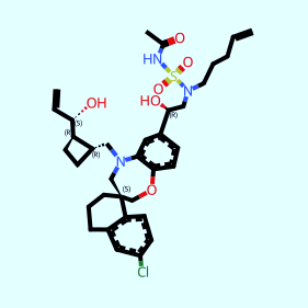 C=CCCCN(C[C@H](O)c1ccc2c(c1)N(C[C@@H]1CC[C@H]1[C@@H](O)C=C)C[C@@]1(CCCc3cc(Cl)ccc31)CO2)S(=O)(=O)NC(C)=O